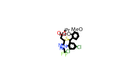 COc1cccc(C2SC(CC(=O)OC(C)C)c3nnc(C(F)(F)Cl)n3-c3ccc(Cl)cc32)c1OC